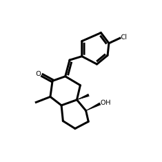 CC1C(=O)/C(=C/c2ccc(Cl)cc2)C[C@@]2(C)C1CCC[C@@H]2O